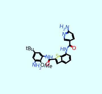 COc1c(N)cc(C(C)(C)C)cc1NC(=O)c1cc2cccc(NC(=O)c3ccc(N)nc3)c2s1